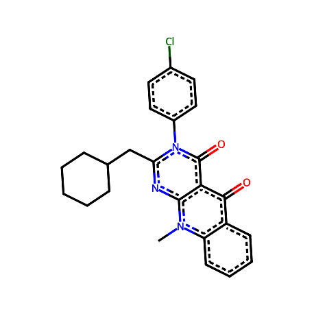 Cn1c2ccccc2c(=O)c2c(=O)n(-c3ccc(Cl)cc3)c(CC3CCCCC3)nc21